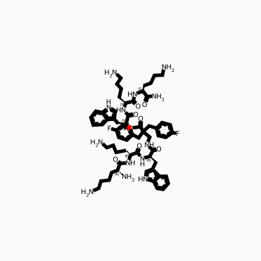 NCCCC[C@@H](N)C(=O)N[C@H](CCCCN)C(=O)N[C@H](Cc1c[nH]c2ccccc12)C(=O)NCC(Cc1ccc(F)cc1)(Cc1ccc(F)cc1)C(=O)N[C@@H](Cc1c[nH]c2ccccc12)C(=O)N[C@@H](CCCCN)C(=O)N[C@@H](CCCCN)C(N)=O